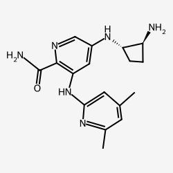 Cc1cc(C)nc(Nc2cc(N[C@H]3CC[C@@H]3N)cnc2C(N)=O)c1